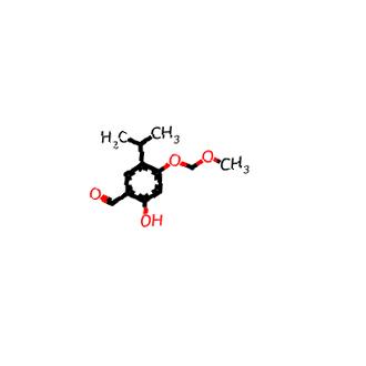 COCOc1cc(O)c(C=O)cc1C(C)C